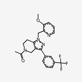 COc1cccnc1Cn1nc(-c2cccc(C(F)(F)F)c2)c2c1CCN(C(C)=O)C2